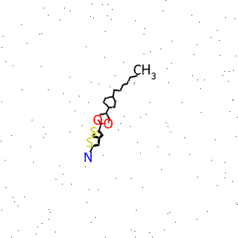 CCCCCCCC1CCC(C2COC(c3cc4cc(C#N)sc4s3)OC2)CC1